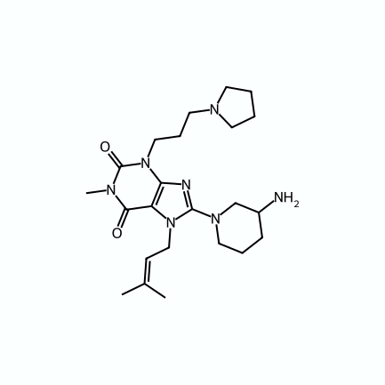 CC(C)=CCn1c(N2CCCC(N)C2)nc2c1c(=O)n(C)c(=O)n2CCCN1CCCC1